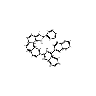 c1ccc(-n2nc3ccc4ccc5ccc(-c6nc(-c7ccc8ccccc8c7)c7ccccc7n6)cc5c4c3n2)cc1